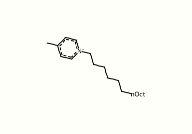 CCCCCCCCCCCCCC[n+]1ccc(C)cc1